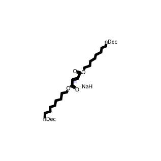 CCCCCCCCCCCCCCCCCCOC(=O)/C=C/C(=O)OCCCCCCCCCCCCCCCCCC.[NaH]